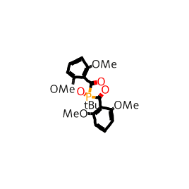 COc1cccc(OC)c1C(=O)P(=O)(C(=O)c1c(OC)cccc1OC)C(C)(C)C